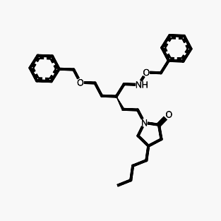 CCCCC1CC(=O)N(CC[C@@H](CCOCc2ccccc2)CNOCc2ccccc2)C1